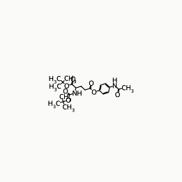 CC(=O)Nc1ccc(OC(=O)CCC(NC(=O)OC(C)(C)C)C(=O)OC(C)(C)C)cc1